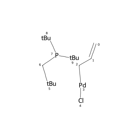 C=C[CH2][Pd][Cl].CC(C)(C)CP(C(C)(C)C)C(C)(C)C